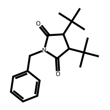 CC(C)(C)C1C(=O)N(Cc2ccccc2)C(=O)C1C(C)(C)C